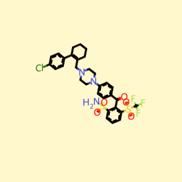 NS(=O)(=O)c1cccc(S(=O)(=O)C(F)(F)F)c1C(=O)c1ccc(N2CCN(CC3=C(c4ccc(Cl)cc4)CCCC3)CC2)cc1